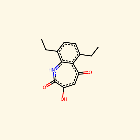 CCc1ccc(CC)c2c(=O)cc(O)c(=O)[nH]c12